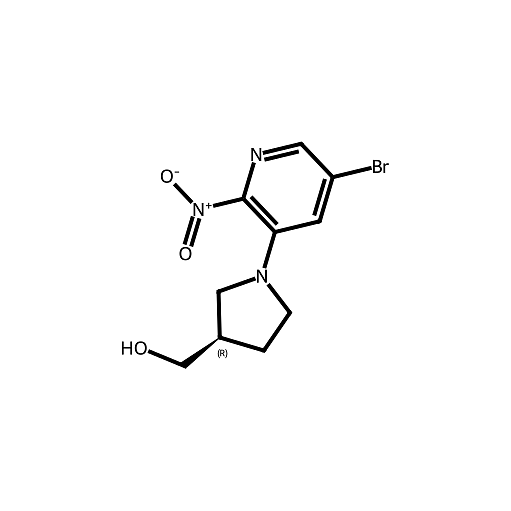 O=[N+]([O-])c1ncc(Br)cc1N1CC[C@@H](CO)C1